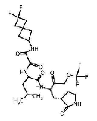 CC(C)CC(NC(=O)C(=O)NC1CC2(C1)CC(F)(F)C2)C(=O)NC(C[C@@H]1CCNC1=O)C(=O)COC(F)(F)F